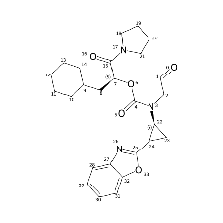 O=CCN(C(=O)O[C@@H](CC1CCCCC1)C(=O)N1CCCC1)[C@H]1CC1c1nc2ccccc2o1